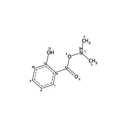 C[SiH](C)OC(=O)c1ccccc1O